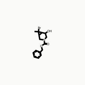 CC1(Br)C2CN(C(=O)OCc3ccccc3)CC(O)C21